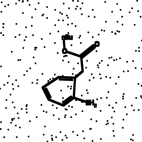 Bc1ccccc1CC(=O)OCCCC